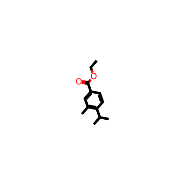 CCOC(=O)c1ccc(C(C)C)c(C)c1